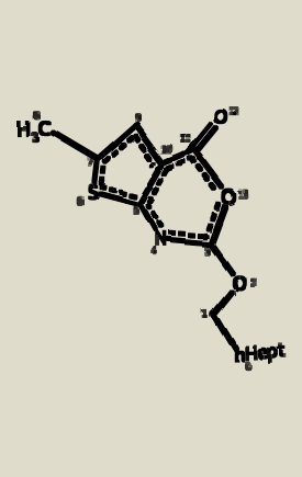 CCCCCCCCOc1nc2sc(C)cc2c(=O)o1